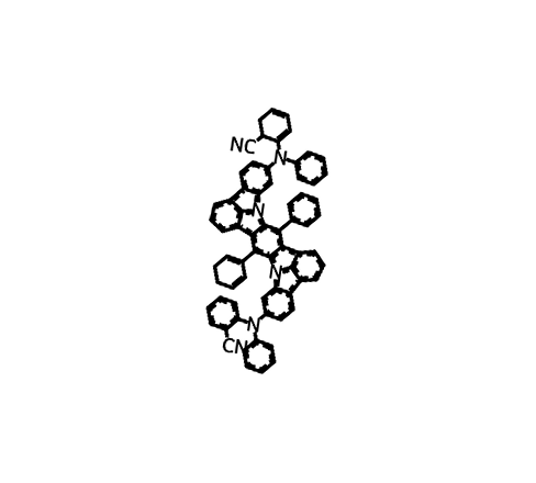 N#Cc1ccccc1N(c1ccccc1)c1ccc2c3cccc4c5c(-c6ccccc6)c6c(c(C7=CCCC=C7)c5n(c2c1)c34)c1cccc2c3ccc(N(C4=CC=CCC4C#N)c4ccccc4)cc3n6c21